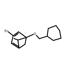 CCC1=CC2(OCC3CCCCC3)CC(=C1)C2C